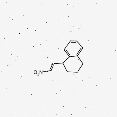 O=[N+]([O-])/C=C/C1CCCc2ccccc21